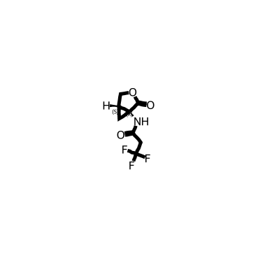 O=C(CC(F)(F)F)N[C@]12C[C@@H]1COC2=O